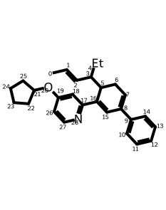 CC=CC(CC)C1CC=C(c2ccccc2)C=C1c1cc(OC2CCCC2)ccn1